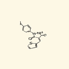 O=C1NN(c2ccc(I)cc2)C(=O)C1=Cc1cccs1